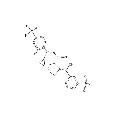 CS(=O)(=O)c1cccc(C(O)N2CSC[C@@H]2C(=O)N[C@@H](c2ccc(C(F)(F)F)cc2F)C2CC2)c1